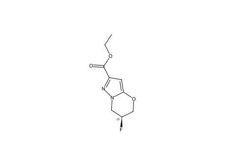 CCOC(=O)c1cc2n(n1)C[C@H](F)CO2